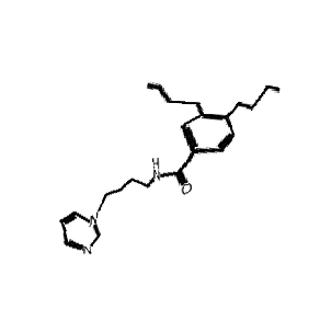 CCCCc1ccc(C(=O)NCCCCN2C=CC=NC2)cc1CCCC